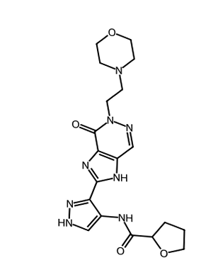 O=C(Nc1c[nH]nc1-c1nc2c(=O)n(CCN3CCOCC3)ncc2[nH]1)C1CCCO1